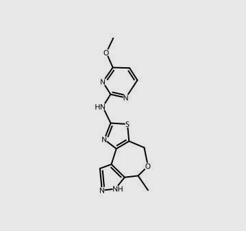 COc1ccnc(Nc2nc3c(s2)COC(C)c2[nH]ncc2-3)n1